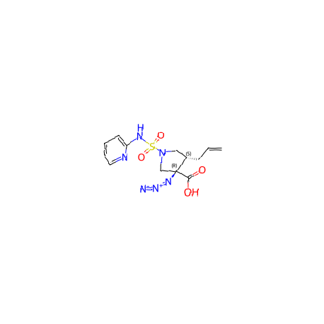 C=CC[C@H]1CN(S(=O)(=O)Nc2ccccn2)C[C@@]1(N=[N+]=[N-])C(=O)O